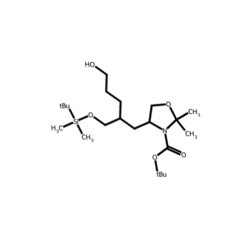 CC(C)(C)OC(=O)N1C(CC(CCCO)CO[Si](C)(C)C(C)(C)C)COC1(C)C